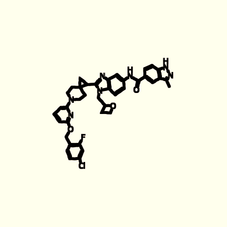 Cc1n[nH]c2ccc(C(=O)Nc3ccc4c(c3)nc(C3CC35CCN(c3cccc(OCc6ccc(Cl)cc6F)n3)CC5)n4CC3CCO3)cc12